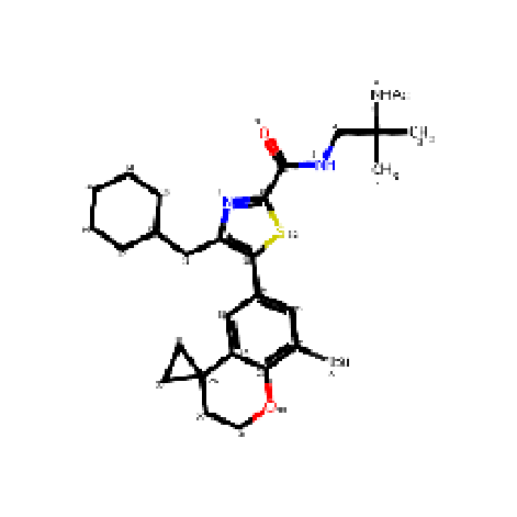 CC(=O)NC(C)(C)CNC(=O)c1nc(CC2CCCCC2)c(-c2cc(C(C)(C)C)c3c(c2)C2(CCO3)CC2)s1